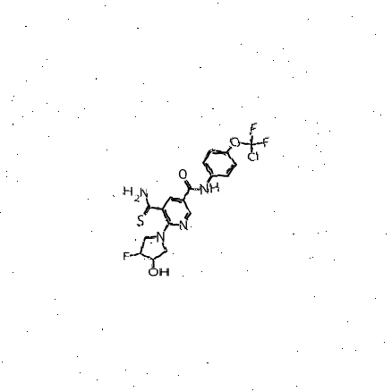 NC(=S)c1cc(C(=O)Nc2ccc(OC(F)(F)Cl)cc2)cnc1N1CC(O)C(F)C1